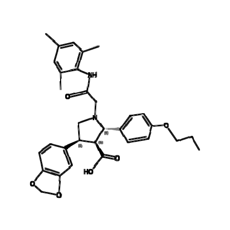 CCCOc1ccc([C@@H]2[C@@H](C(=O)O)[C@@H](c3ccc4c(c3)OCO4)CN2CC(=O)Nc2c(C)cc(C)cc2C)cc1